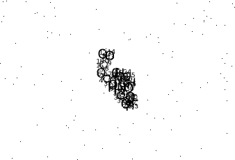 COc1ccc(O[C@H]2CC[C@@H](C(=O)OC)CC2)cc1C(=O)N[C@@H]1[C@H]2CC[C@H](C2)[C@@H]1C(=O)Nc1cccc(S(=O)(=O)C(F)(F)F)c1